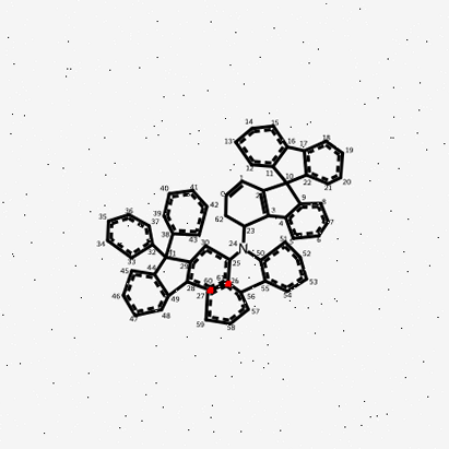 C1=CC2=C(c3ccccc3C23c2ccccc2-c2ccccc23)C(N(c2ccc3c(c2)C(c2ccccc2)(c2ccccc2)c2ccccc2-3)c2ccccc2-c2ccccc2)C1